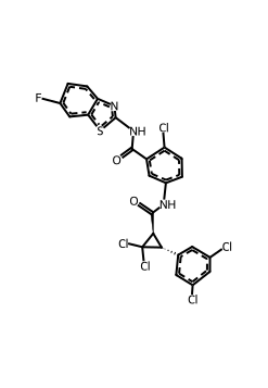 O=C(Nc1nc2ccc(F)cc2s1)c1cc(NC(=O)[C@H]2[C@H](c3cc(Cl)cc(Cl)c3)C2(Cl)Cl)ccc1Cl